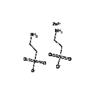 NCCS(=O)(=O)[O-].NCCS(=O)(=O)[O-].[Zn+2]